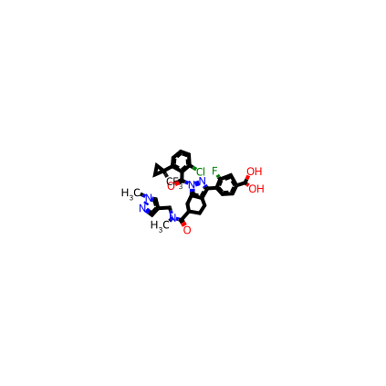 CN(Cc1cnn(C)c1)C(=O)C1CCc2c(-c3ccc(C(O)O)cc3F)nn(C(=O)c3c(Cl)cccc3C3(C(F)(F)F)CC3)c2C1